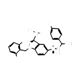 CCN(CC)c1nn(Cc2c(Cl)cccc2Cl)c2ccc(S(=O)(=O)NC(C)c3ccc(F)cc3)cc12